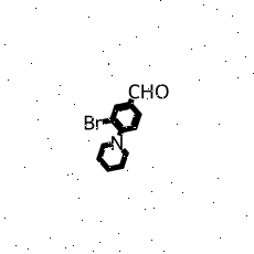 O=Cc1ccc(N2CCCCC2)c(Br)c1